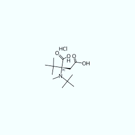 CN(C(C)(C)C)[C@@](CC(=O)O)(C(=O)O)C(C)(C)C.Cl